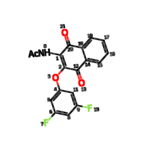 CC(=O)NC1=C(Oc2cc(F)cc(F)c2)C(=O)c2ccccc2C1=O